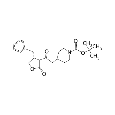 CC(C)(C)OC(=O)N1CCC(CC(=O)C2C(=O)OC[C@@H]2Cc2ccccc2)CC1